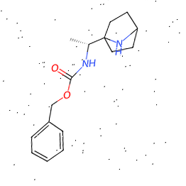 C[C@@H](NC(=O)OCc1ccccc1)C12CCC(CC1)N2